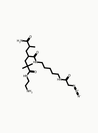 CC(CC(CC(C)(C)C(=O)NCCN)C(=O)NCCCCCNC(=O)CN=[N+]=[N-])C(N)=O